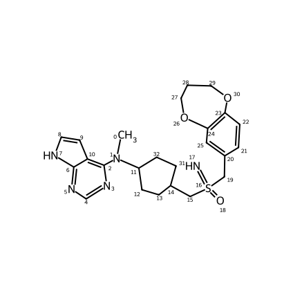 CN(c1ncnc2[nH]ccc12)C1CCC(CS(=N)(=O)Cc2ccc3c(c2)OCCCO3)CC1